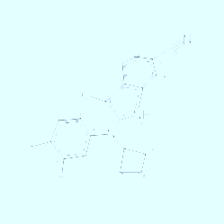 Cc1c(N(c2ccc(I)c(F)c2)C2CCC2)[nH]c2cc(C#N)ccc12